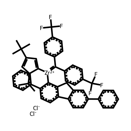 CC(C)C1C=C(C(C)(C)C)C=[C]1[Zr+2](=[C](c1ccc(C(F)(F)F)cc1)c1ccc(C(F)(F)F)cc1)[c]1c(-c2ccccc2)ccc2c1Cc1cc(-c3ccccc3)ccc1-2.[Cl-].[Cl-]